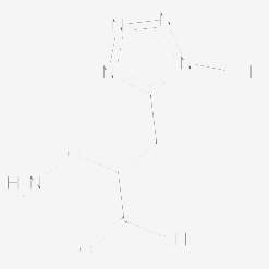 Cn1nnnc1CC(ON)C(=O)S